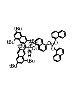 CC(C)(C)c1cc(C(C)(C)C)c2cc(C(c3cc4c(C(C)(C)C)cc(C(C)(C)C)cc4cc3C(C)(C)C)[PH](O)(O)O)c(C(C)(C)C)cc2c1.c1ccc2c(OP(Oc3cccc4ccccc34)Oc3cccc4ccccc34)cccc2c1